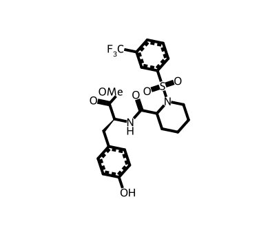 COC(=O)[C@H](Cc1ccc(O)cc1)NC(=O)C1CCCCN1S(=O)(=O)c1cccc(C(F)(F)F)c1